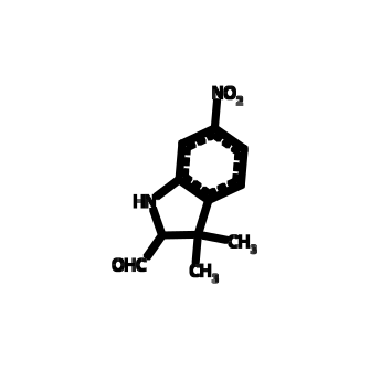 CC1(C)c2ccc([N+](=O)[O-])cc2NC1C=O